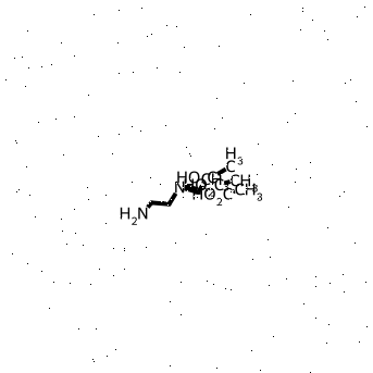 CC(=O)O.CC(=O)O.CC(=O)O.CC=NCCN